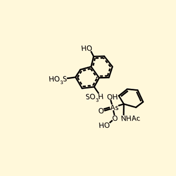 CC(=O)NC1([As](=O)(O)OO)C=CC=CC1.O=S(=O)(O)c1cc(S(=O)(=O)O)c2cccc(O)c2c1